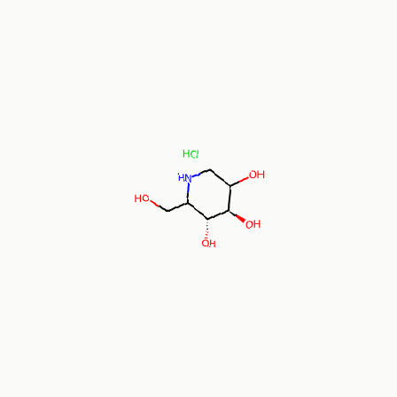 Cl.OCC1NCC(O)[C@@H](O)[C@@H]1O